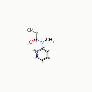 CN(C(=O)CCl)c1ccccn1